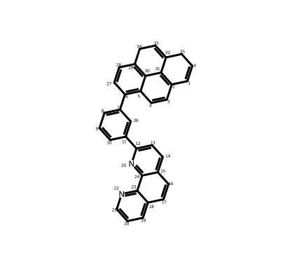 C1=Cc2ccc3c(-c4cccc(-c5ccc6ccc7cccnc7c6n5)c4)ccc4c3c2C(=CC4)C1